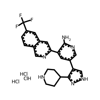 Cl.Cl.Cl.Nc1ncc(-c2c[nH]nc2C2CCNCC2)cc1-c1cc2cc(C(F)(F)F)ccc2cn1